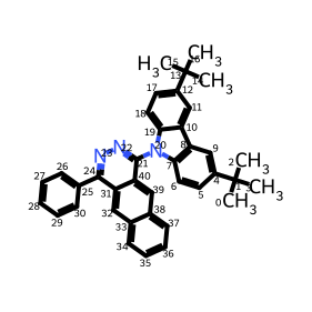 CC(C)(C)c1ccc2c(c1)c1cc(C(C)(C)C)ccc1n2-c1nnc(-c2ccccc2)c2cc3ccccc3cc12